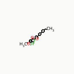 CCCC1CCC(C2CCC(C3CCC(CC(=O)c4ccc(OCC)c(F)c4C(F)F)OC3)CC2)CC1